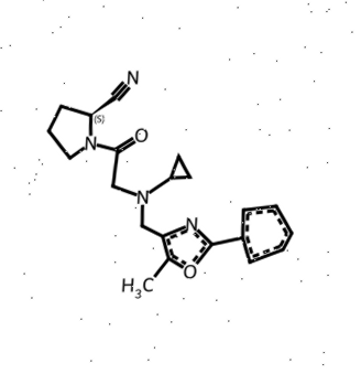 Cc1oc(-c2ccccc2)nc1CN(CC(=O)N1CCC[C@H]1C#N)C1CC1